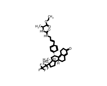 CCOC(=O)C(C)NC(=O)NC/C=C/c1ccc([C@H]2C[C@@]3(C)[C@@H](CC[C@@]3(O)C(F)(F)C(F)(F)F)[C@@H]3CCC4=CC(=O)CCC4=C32)cc1